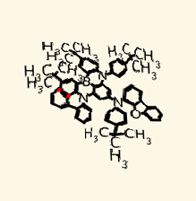 CC(C)(C)c1ccc(N2c3ccc(C(C)(C)C)cc3B3c4cc(C(C)(C)C)ccc4N(c4ccccc4-c4ccccc4)c4cc(N(c5ccc(C(C)(C)C)cc5)c5cccc6c5oc5ccccc56)cc2c43)cc1